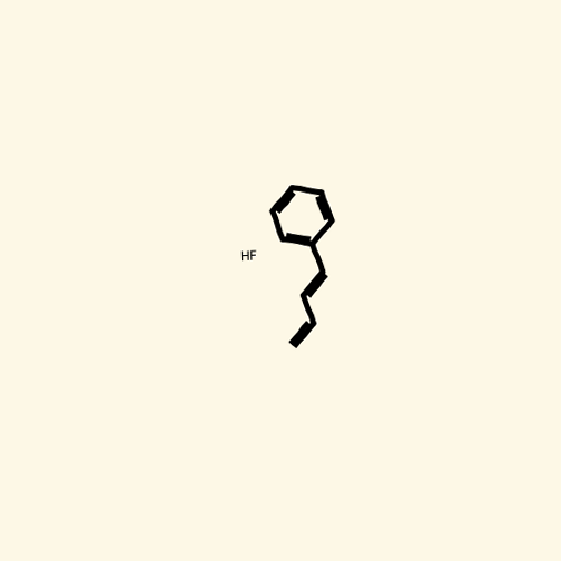 C=CC=Cc1ccccc1.F